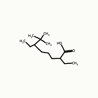 CCC(CCCC(CC)C(C)(C)C)C(=O)O